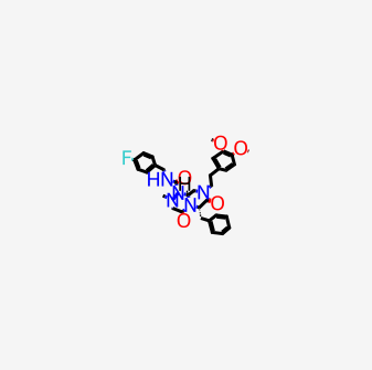 COc1ccc(CCN2C[C@H]3N(C(=O)CN(C)N3C(=O)NCc3ccc(F)cc3)[C@@H](Cc3ccccc3)C2=O)cc1OC